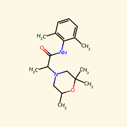 Cc1cccc(C)c1NC(=O)C(C)N1CC(C)OC(C)(C)C1